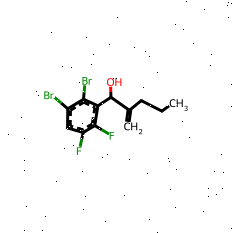 C=C(CCC)C(O)c1c(F)c(F)cc(Br)c1Br